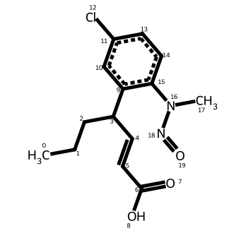 CCCC(C=CC(=O)O)c1cc(Cl)ccc1N(C)N=O